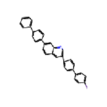 Ic1ccc(-c2ccc(-c3cnc4cc(-c5ccc(-c6ccccc6)cc5)ccc4c3)cc2)cc1